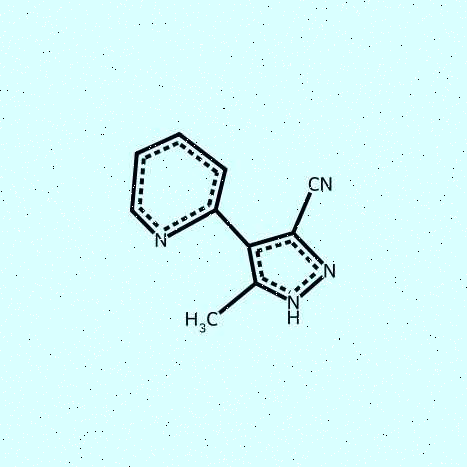 Cc1[nH]nc(C#N)c1-c1ccccn1